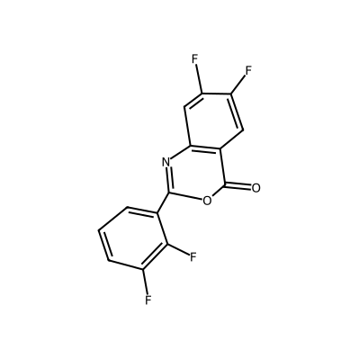 O=c1oc(-c2cccc(F)c2F)nc2cc(F)c(F)cc12